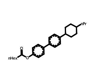 CCCCCCC(=O)Oc1ccc(-c2ccc(C3CCC(CCC)CC3)cc2)cc1